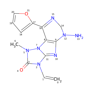 C=Cn1c(=O)n(C)n2c3c(nc12)N(N)CN=C3c1ccco1